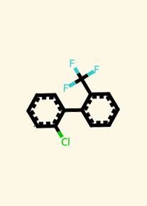 FC(F)(F)c1ccccc1-c1ccc[c]c1Cl